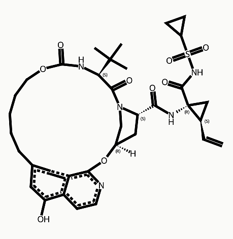 C=C[C@@H]1C[C@]1(NC(=O)[C@@H]1C[C@@H]2CN1C(=O)[C@H](C(C)(C)C)NC(=O)OCCCCCc1cc(O)c3ccnc(c3c1)O2)C(=O)NS(=O)(=O)C1CC1